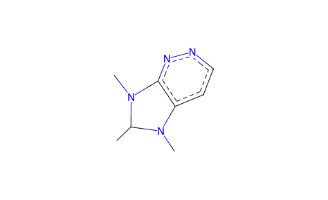 CC1N(C)c2ccnnc2N1C